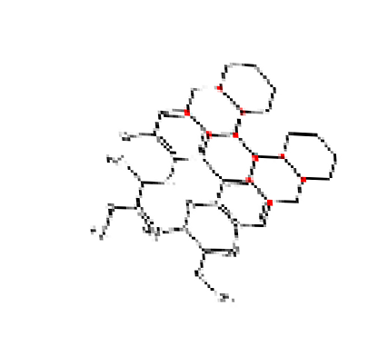 COC(=O)C(C)Oc1c(Cl)ccc(P(C2CCCCC2)C2CCCCC2)c1-c1c(P(C2CCCCC2)C2CCCCC2)ccc(Cl)c1OC(C)C(=O)OC